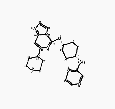 c1cnc(N[C@H]2CC[C@@H](Oc3nc(N4CCOCC4)cc4nccn34)CC2)cn1